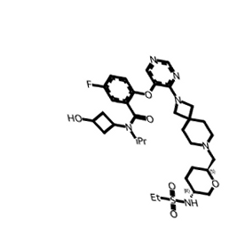 CCS(=O)(=O)N[C@@H]1CC[C@@H](CN2CCC3(CC2)CN(c2ncncc2Oc2ccc(F)cc2C(=O)N(C(C)C)C2CC(O)C2)C3)OC1